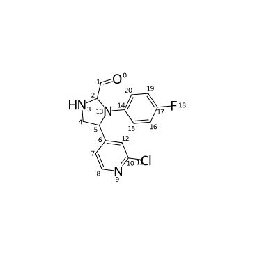 O=CC1NCC(c2ccnc(Cl)c2)N1c1ccc(F)cc1